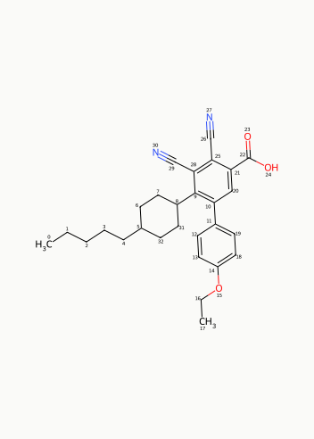 CCCCCC1CCC(c2c(-c3ccc(OCC)cc3)cc(C(=O)O)c(C#N)c2C#N)CC1